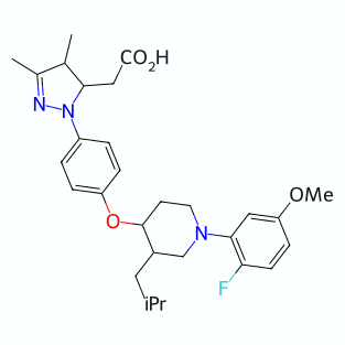 COc1ccc(F)c(N2CCC(Oc3ccc(N4N=C(C)C(C)C4CC(=O)O)cc3)C(CC(C)C)C2)c1